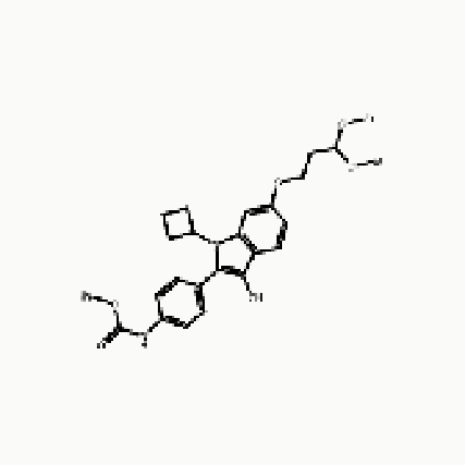 CCOC(CCOc1ccc2c(C#N)c(-c3ccc(NC(=O)OC(C)C)cc3)n(C3CCC3)c2c1)OCC